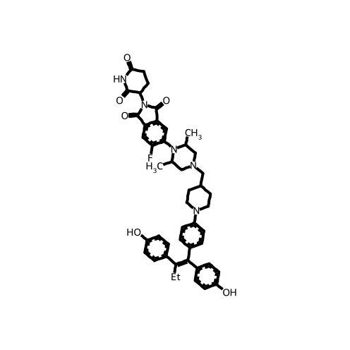 CCC(=C(c1ccc(O)cc1)c1ccc(N2CCC(CN3CC(C)N(c4cc5c(cc4F)C(=O)N(C4CCC(=O)NC4=O)C5=O)C(C)C3)CC2)cc1)c1ccc(O)cc1